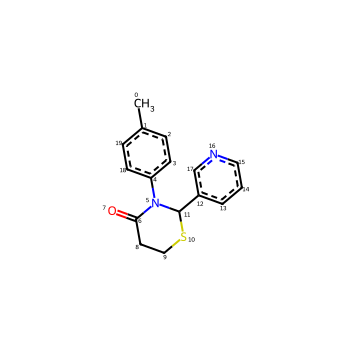 Cc1ccc(N2C(=O)CCSC2c2cccnc2)cc1